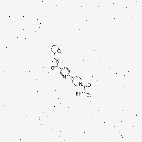 CCC(CC)C(=O)N1CCN(c2ccc(C(=O)NCC3CCCO3)cn2)CC1